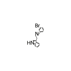 CN(CCc1c[nH]c2ccccc12)Cc1cccc(Br)c1